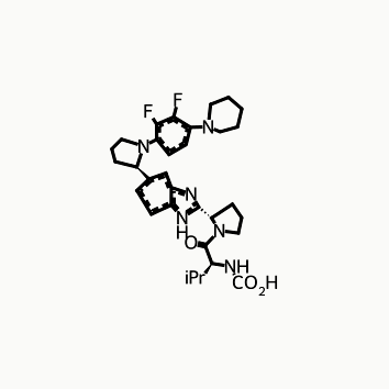 CC(C)[C@H](NC(=O)O)C(=O)N1CCC[C@H]1c1nc2cc([C@H]3CCCN3c3ccc(N4CCCCC4)c(F)c3F)ccc2[nH]1